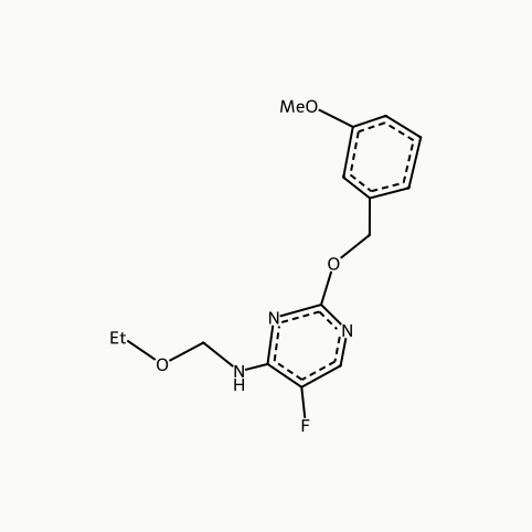 CCOCNc1nc(OCc2cccc(OC)c2)ncc1F